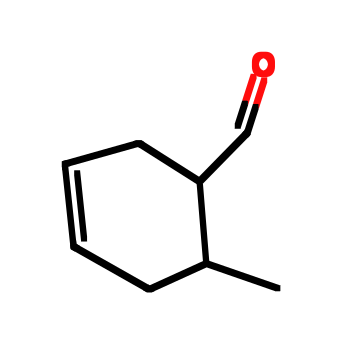 CC1CC=CCC1C=O